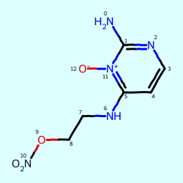 Nc1nccc(NCCO[N+](=O)[O-])[n+]1[O-]